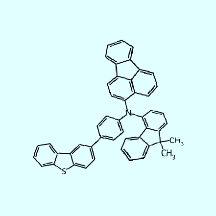 CC1(C)c2ccccc2-c2c(N(c3ccc(-c4ccc5sc6ccccc6c5c4)cc3)c3ccc4c5c(cccc35)-c3ccccc3-4)cccc21